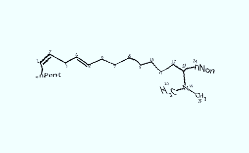 CCCCC/C=C\CC=CCCCCCCCC(CCCCCCCCC)N(C)C